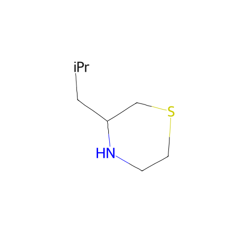 CC(C)CC1CSCCN1